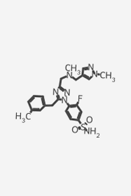 Cc1cccc(Cc2nc(CN(C)Cc3cnn(C)c3)nn2-c2ccc(S(N)(=O)=O)cc2F)c1